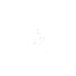 Cc1nc(-c2cnn3c(C4CCNCC4)cc(=O)[nH]c23)sc1CC(C)C.Cl